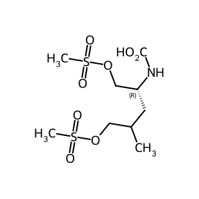 CC(COS(C)(=O)=O)C[C@H](COS(C)(=O)=O)NC(=O)O